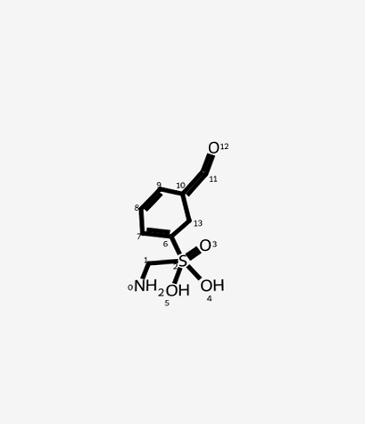 NCS(=O)(O)(O)C1=CC=CC(=C=O)C1